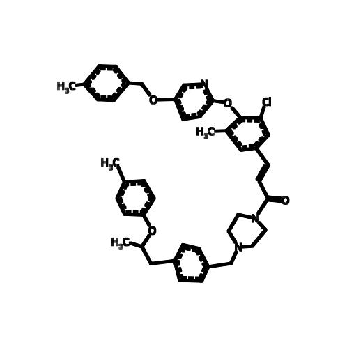 Cc1ccc(COc2ccc(Oc3c(C)cc(C=CC(=O)N4CCN(Cc5ccc(CC(C)Oc6ccc(C)cc6)cc5)CC4)cc3Cl)nc2)cc1